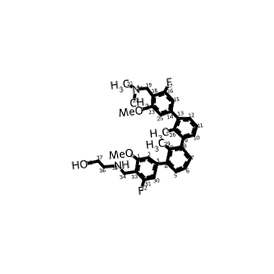 COc1cc(-c2cccc(-c3cccc(-c4cc(F)c(CN(C)C)c(OC)c4)c3C)c2C)cc(F)c1CNCCO